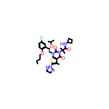 CCCCOc1ccc(F)cc1[C@H](Cn1c(=O)n(C(C)(C)C(=O)NC2CCC2)c(=O)c2c(C)c(-n3nccn3)sc21)OC(C)C